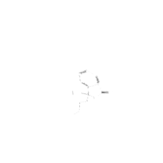 CCCCC1(O)OC(=O)c2ccccc21